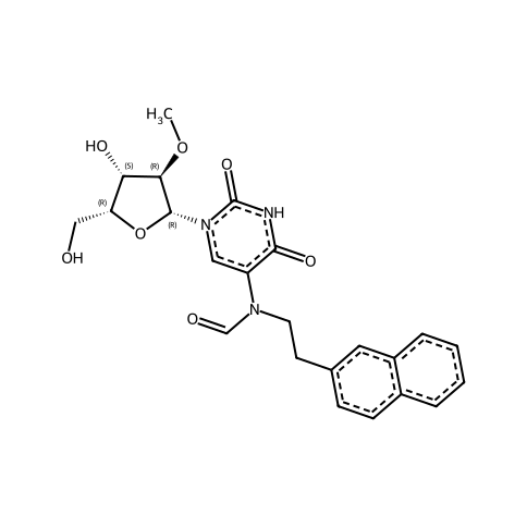 CO[C@@H]1[C@@H](O)[C@@H](CO)O[C@H]1n1cc(N(C=O)CCc2ccc3ccccc3c2)c(=O)[nH]c1=O